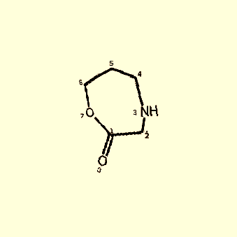 O=C1[CH]NCCCO1